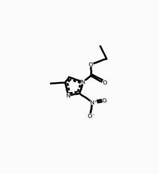 CCOC(=O)n1cc(C)nc1[N+](=O)[O-]